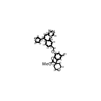 COC(=O)C1(c2cc(F)cc(OCc3ccc4c(-c5ccsc5)cc5nncn5c4c3)c2)CCOCC1